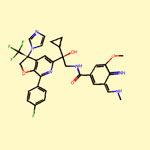 CN/C=C1/C=C(C(=O)NC[C@](O)(c2cc3c(c(-c4ccc(F)cc4)n2)OC[C@@]3(n2ccnc2)C(F)(F)F)C2CC2)C=C(OC)C1=N